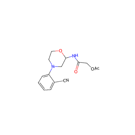 CC(=O)OCC(=O)NC1CN(c2ccccc2C#N)CCO1